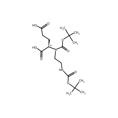 CC(C)(C)OC(=O)NCCN(C(=O)OC(C)(C)C)[C@H](CCC(=O)O)C(=O)O